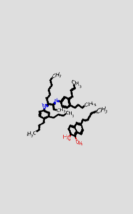 CCCCCCC(=Nc1ccc(CCCC)c(CCCC)c1)C(CC)=Nc1ccc(CCCC)c(CCCC)c1.CCCCc1ccc2c(O)c(O)ccc2c1